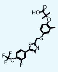 Cc1cc(SCc2nnc(-c3ccc(OC(F)(F)F)c(F)c3)s2)ccc1OC(C)(C)C(=O)O